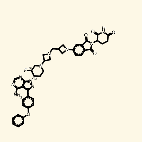 Nc1ncnc2c1c(-c1ccc(Oc3ccccc3)cc1)nn2[C@H]1CCN(C2CN(CC3CN(c4ccc5c(c4)C(=O)N(C4CCC(=O)NC4=O)C5=O)C3)C2)C[C@@H]1F